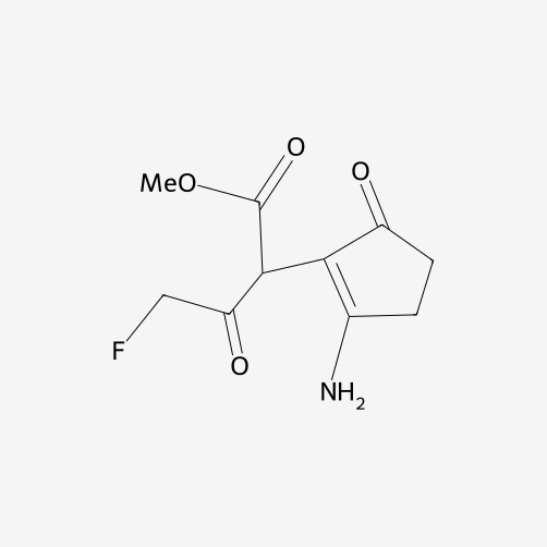 COC(=O)C(C(=O)CF)C1=C(N)CCC1=O